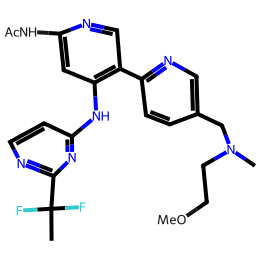 COCCN(C)Cc1ccc(-c2cnc(NC(C)=O)cc2Nc2ccnc(C(C)(F)F)n2)nc1